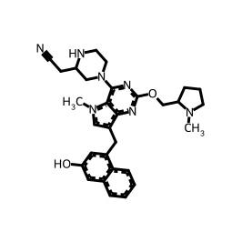 CN1CCCC1COc1nc(N2CCNC(CC#N)C2)c2c(n1)c(Cc1cc(O)cc3ccccc13)cn2C